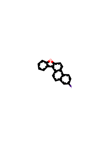 Ic1ccc2c(ccc3c2ccc2oc4ccccc4c23)c1